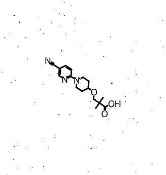 CC(C)(COC1CCN(c2ccc(C#N)cn2)CC1)C(=O)O